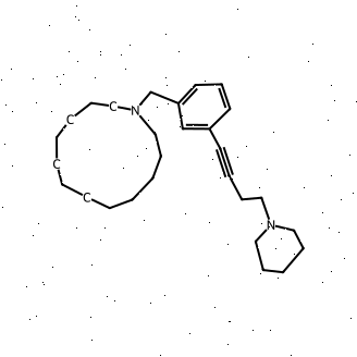 C(#Cc1cccc(CN2CCCCCCCCCCCC2)c1)CCN1CCCCC1